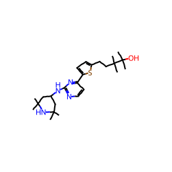 CC1(C)CC(Nc2nccc(-c3ccc(CCC(C)(C)C(C)(C)O)s3)n2)CC(C)(C)N1